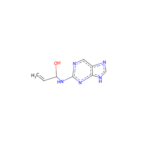 C=CC(O)Nc1ncc2nc[nH]c2n1